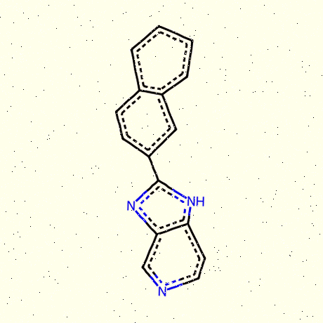 c1ccc2cc(-c3nc4cnccc4[nH]3)ccc2c1